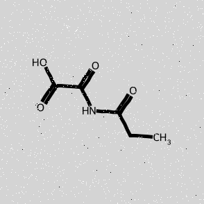 CCC(=O)NC(=O)C(=O)O